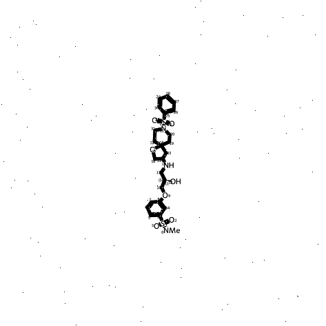 CNS(=O)(=O)c1cccc(OC[C@@H](O)CNC2COC3(CCN(S(=O)(=O)c4ccccc4)CC3)C2)c1